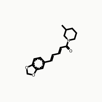 CC1CCCN(C(=O)/C=C/C=C/c2ccc3c(c2)OCO3)C1